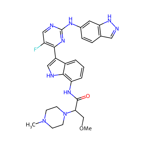 COCC(C(=O)Nc1cccc2c(-c3nc(Nc4ccc5cn[nH]c5c4)ncc3F)c[nH]c12)N1CCN(C)CC1